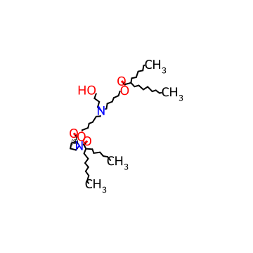 CCCCCCCCC(CCCCCC)C(=O)OCCCCCCN(CCCCO)CCCCCCOC(=O)[C@@H]1CCCN1C(=O)C(CCCCCC)CCCCCCCC